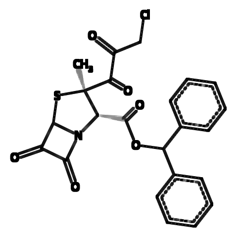 C[C@@]1(C(=O)C(=O)CCl)SC2C(=O)C(=O)N2[C@H]1C(=O)OC(c1ccccc1)c1ccccc1